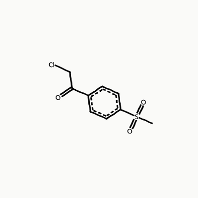 CS(=O)(=O)c1ccc(C(=O)CCl)cc1